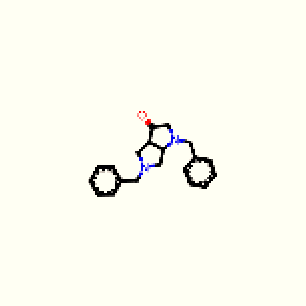 O=C1CN(Cc2ccccc2)C2CN(Cc3ccccc3)CC12